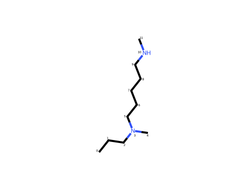 CCCN(C)CCCCCNC